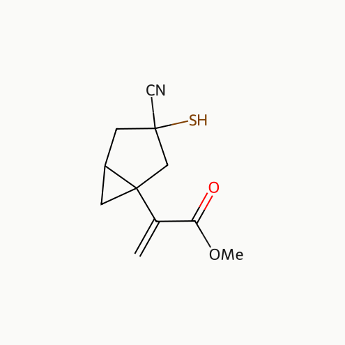 C=C(C(=O)OC)C12CC1CC(S)(C#N)C2